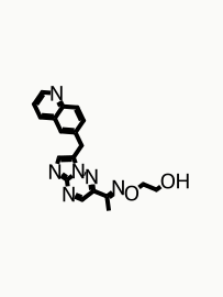 CC(=NOCCO)c1cnc2ncc(Cc3ccc4ncccc4c3)n2n1